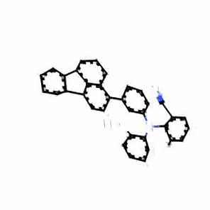 Cc1ccccc1N(c1cccc(-c2ccc3c4c(cccc24)-c2ccccc2-3)c1)c1c(C)cccc1C#N